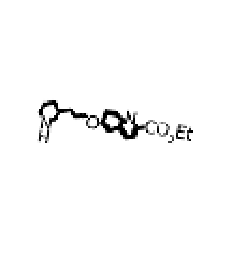 CCOC(=O)c1ccc2cc(OCCCC3CCCNC3)ccc2n1